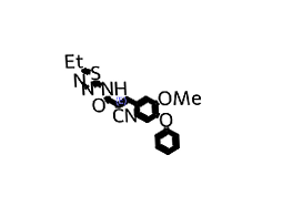 CCc1nnc(NC(=O)/C(C#N)=C/c2ccc(Oc3ccccc3)c(OC)c2)s1